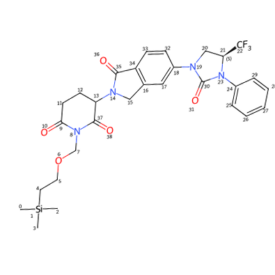 C[Si](C)(C)CCOCN1C(=O)CCC(N2Cc3cc(N4C[C@@H](C(F)(F)F)N(c5ccccc5)C4=O)ccc3C2=O)C1=O